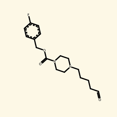 O=CCCCCN1CCN(C(=O)OCc2ccc(F)cc2)CC1